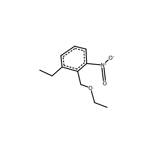 CCOCc1c(CC)cccc1[N+](=O)[O-]